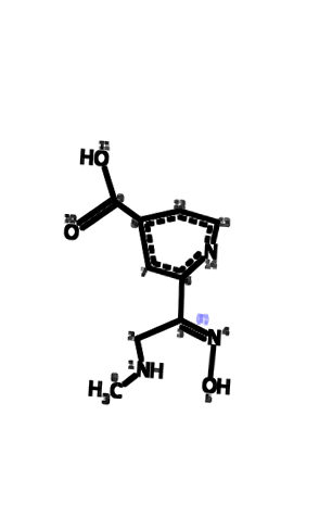 CNC/C(=N\O)c1cc(C(=O)O)ccn1